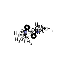 CO/C(=N\NC(=S)N(C)C)c1ccccc1SSc1ccccc1/C(=N/NC(=S)N(C)C)C(C)C